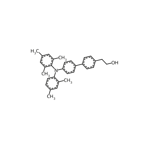 Cc1ccc(N(c2ccc(-c3ccc(CCO)cc3)cc2)c2c(C)cc(C)cc2C)c(C)c1